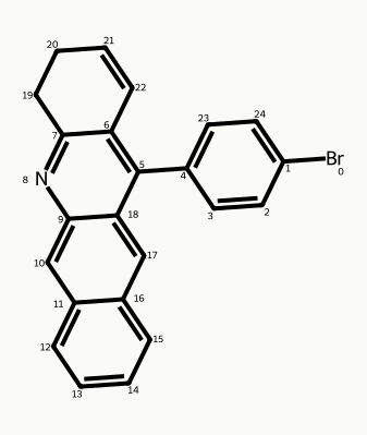 Brc1ccc(-c2c3c(nc4cc5ccccc5cc24)CCC=C3)cc1